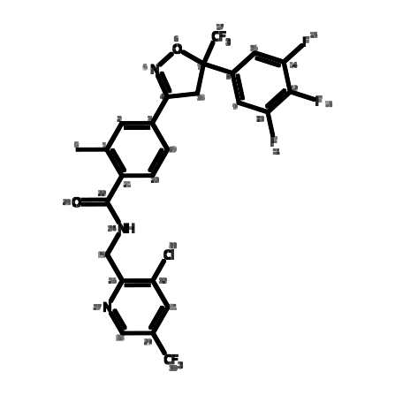 Cc1cc(C2=NOC(c3cc(F)c(F)c(F)c3)(C(F)(F)F)C2)ccc1C(=O)NCc1ncc(C(F)(F)F)cc1Cl